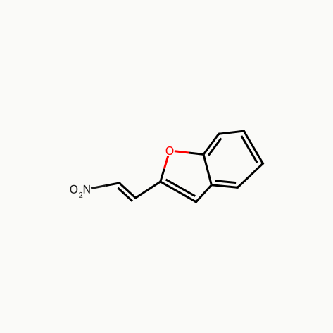 O=[N+]([O-])C=Cc1cc2ccccc2o1